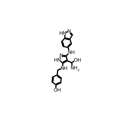 NC(O)c1c(Nc2ccc3[nH]ncc3c2)n[nH]c1NCc1ccc(O)cc1